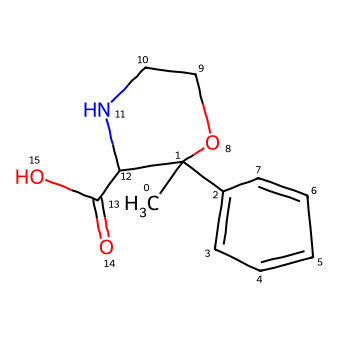 CC1(c2ccccc2)OCCNC1C(=O)O